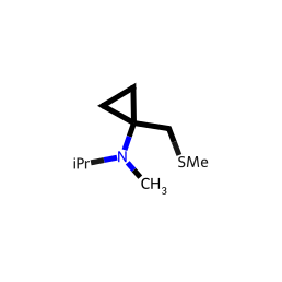 CSCC1(N(C)C(C)C)CC1